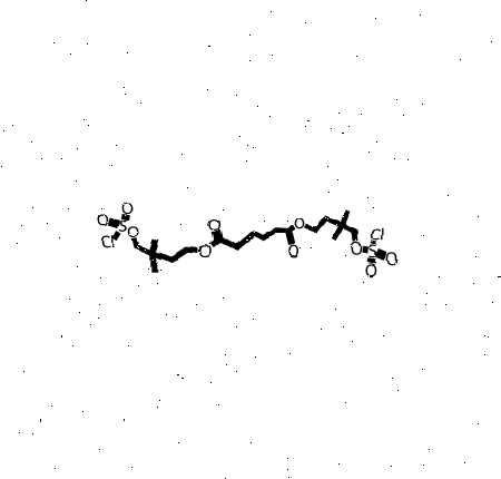 CC(C)(CCOC(=O)CCCCC(=O)OCCC(C)(C)COS(=O)(=O)Cl)COS(=O)(=O)Cl